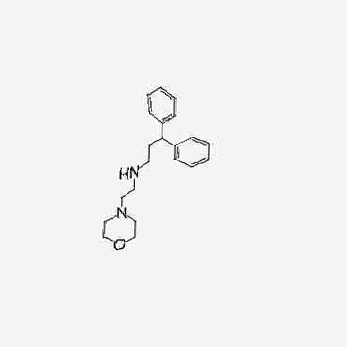 c1ccc(C(CCNCCN2CCOCC2)c2ccccc2)cc1